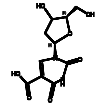 O=C(O)c1cn([C@H]2CC(O)[C@@H](CO)O2)c(=O)[nH]c1=O